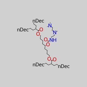 CCCCCCCCCCCCC(CCCCCCCCCCCC)C(=O)OCCCCC(CCCCOC(=O)C(CCCCCCCCCCCC)CCCCCCCCCCCC)OC(=O)NCCN(C)CCN(C)C